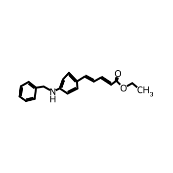 CCOC(=O)/C=C/C=C/c1ccc(NCc2ccccc2)cc1